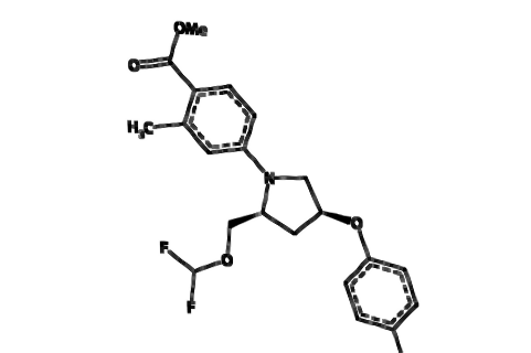 COC(=O)c1ccc(N2C[C@@H](Oc3ccc(C(F)(F)F)cc3)C[C@H]2COC(F)F)cc1C